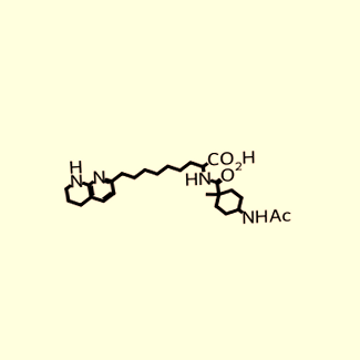 CC(=O)NC1CCC(C)(C(=O)NC(CCCCCCCc2ccc3c(n2)NCCC3)C(=O)O)CC1